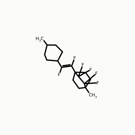 CC1CCC(/C(F)=C(\F)C23CCC(C)(CC2)C(F)(F)C3(F)F)CC1